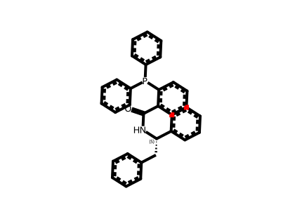 O=C(N[C@@H](Cc1ccccc1)c1ccccc1)c1ccccc1P(c1ccccc1)c1ccccc1